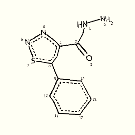 NNC(=O)c1nnsc1-c1ccccc1